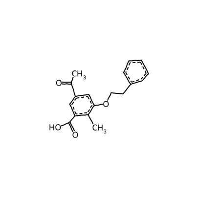 CC(=O)c1cc(OCCc2ccccc2)c(C)c(C(=O)O)c1